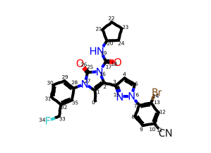 Cc1c(-c2ccn(-c3ccc(C#N)cc3Br)n2)n(C(=O)NC2CCCC2)c(=O)n1-c1cccc(CF)c1